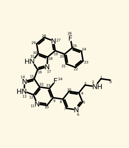 CCNCc1cncc(-c2cnc3[nH]nc(-c4nc5c(-c6ccccc6F)nccc5[nH]4)c3c2F)c1